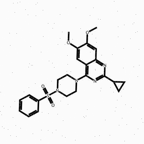 COc1cc2nc(C3CC3)nc(N3CCN(S(=O)(=O)c4ccccc4)CC3)c2cc1OC